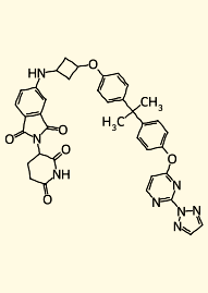 CC(C)(c1ccc(Oc2ccnc(-n3nccn3)n2)cc1)c1ccc(OC2CC(Nc3ccc4c(c3)C(=O)N(C3CCC(=O)NC3=O)C4=O)C2)cc1